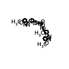 COc1cccc2c(N3CCC[C@@](C)(COCO[PH](=O)OCOC[C@]4(C)CCCN(c5ncnc6c(OC)cccc56)C4)C3)ncnc12